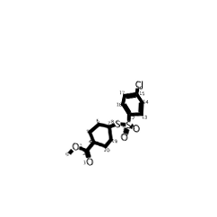 COC(=O)C1CCC(SS(=O)(=O)c2ccc(Cl)cc2)CC1